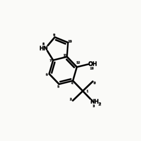 CC(C)(N)c1ccc2[nH]ccc2c1O